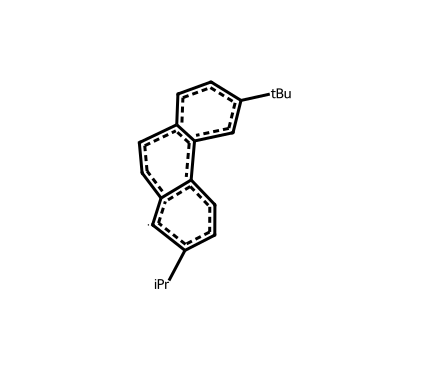 CC(C)c1[c]c2ccc3ccc(C(C)(C)C)cc3c2cc1